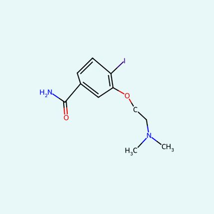 CN(C)CCOc1cc(C(N)=O)ccc1I